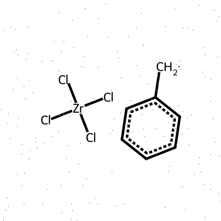 [CH2]c1ccccc1.[Cl][Zr]([Cl])([Cl])[Cl]